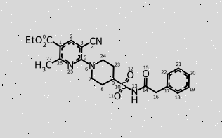 CCOC(=O)c1cc(C#N)c(N2CCC(S(=O)(=O)NC(=O)Cc3ccccc3)CC2)nc1C